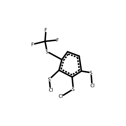 FC(F)(F)Sc1ccc(SCl)c(SCl)c1SCl